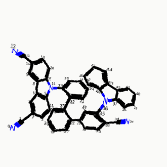 N#Cc1ccc2c(c1)c1cc(C#N)ccc1n2-c1ccccc1-c1ccccc1-c1ccc(C#N)c(-n2c3ccccc3c3ccccc32)c1